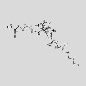 CCCCCCC(=O)NCC(=O)NC[C@H]1[C@@H](CC#CCCCC(=O)O)[C@H]2CC[C@@H]1O2